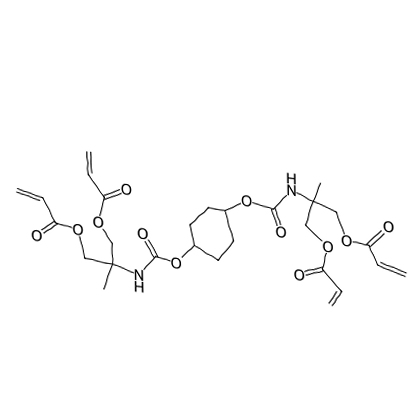 C=CC(=O)OCC(C)(COC(=O)C=C)NC(=O)OC1CCC(OC(=O)NC(C)(COC(=O)C=C)COC(=O)C=C)CC1